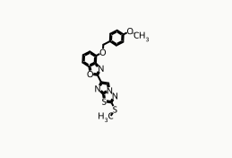 COc1ccc(COc2cccc3oc(-c4cn5nc(SC)sc5n4)nc23)cc1